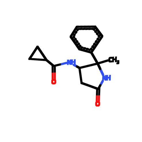 CC1(c2ccccc2)NC(=O)CC1NC(=O)C1CC1